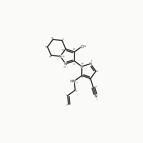 C=CCNc1c(C#N)cnn1-c1nn2c(c1Cl)CCCC2